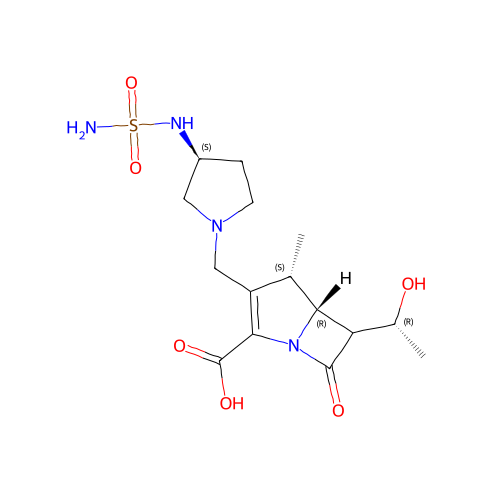 C[C@@H](O)C1C(=O)N2C(C(=O)O)=C(CN3CC[C@H](NS(N)(=O)=O)C3)[C@H](C)[C@H]12